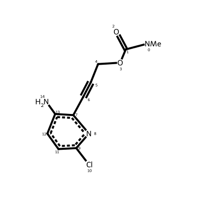 CNC(=O)OCC#Cc1nc(Cl)ccc1N